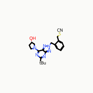 CC(C)(C)c1nc(N2CC[C@H](O)C2)c2nn(Cc3ccccc3CSC#N)nc2n1